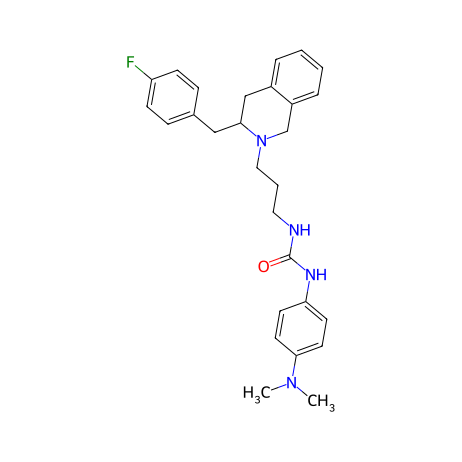 CN(C)c1ccc(NC(=O)NCCCN2Cc3ccccc3CC2Cc2ccc(F)cc2)cc1